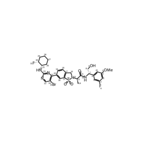 COc1cc(F)cc([C@@H](CO)NC(=O)[C@@H](C)N2Cc3ccc(-c4nc(N[C@H]5CCCC[C@H]5F)ncc4Br)cc3S2(=O)=O)c1